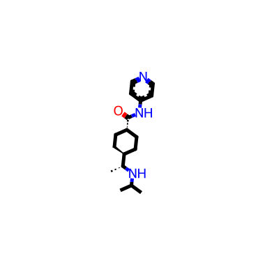 CC(C)N[C@H](C)[C@H]1CC[C@H](C(=O)Nc2ccncc2)CC1